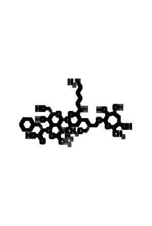 CC[C@@H](COC1OC(C)C(O)C[C@H](O)C1O)CC(C[C@H](C)O[C@@H]1O[C@@H](CO)C(O)C(O[C@@H](CC2CCCCC2)C(=O)O)C1NC(C)=O)C(=O)NCCCCN